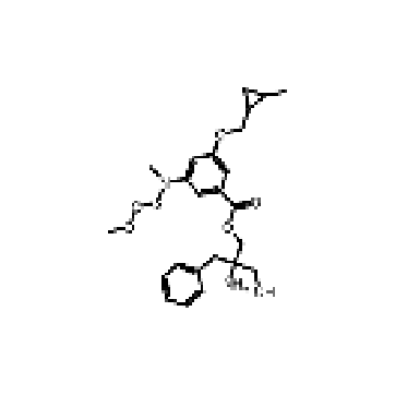 COOSN(C)c1cc(OCC2CC2C)cc(C(=O)OCC(N)(CO)Cc2ccccc2)c1